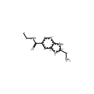 CCNC(=O)c1cnc2[nH]c(CN)nc2c1